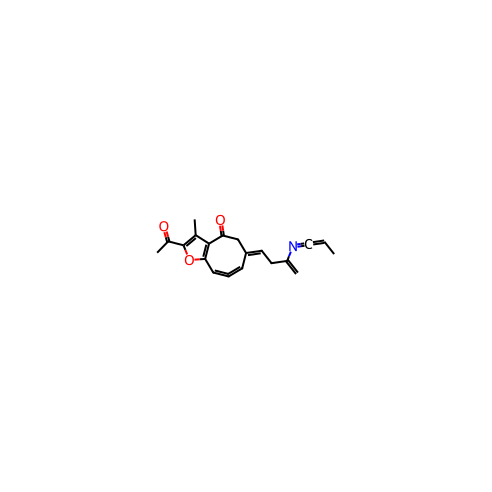 C=C(C/C=C1\C=C=Cc2oc(C(C)=O)c(C)c2C(=O)C1)N=C=CC